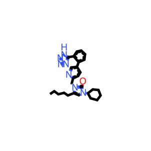 CCCCCc1cn(C2CCCCC2)c(=O)n1Cc1ccc(-c2ccccc2-c2nnn[nH]2)cn1